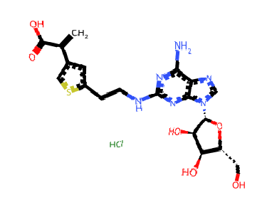 C=C(C(=O)O)c1csc(CCNc2nc(N)c3ncn([C@@H]4O[C@H](CO)[C@@H](O)[C@H]4O)c3n2)c1.Cl